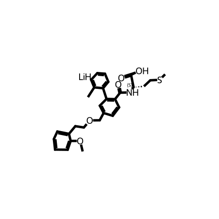 COc1ccccc1CCOCc1ccc(C(=O)N[C@@H](CCSC)C(=O)O)c(-c2ccccc2C)c1.[LiH]